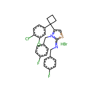 Br.Fc1ccc(C/N=c2/scc(C3(c4ccc(Cl)c(Cl)c4)CCC3)n2Cc2ccc(F)cc2)cc1